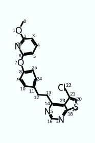 COc1cccc(Oc2ccc(C[CH]c3ncnc4scc(Cl)c34)cc2)n1